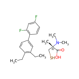 CCc1ccc(-c2ccc(F)cc2F)cc1CC.CN(C)[C@@](C)(CS)C(=O)O